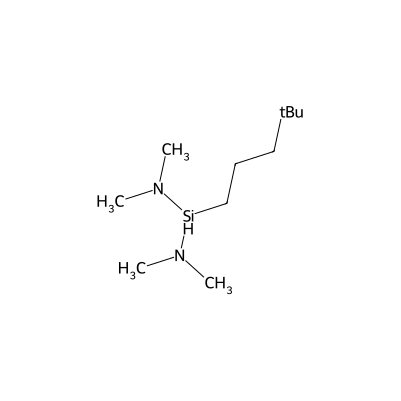 CN(C)[SiH](CCCC(C)(C)C)N(C)C